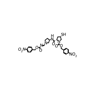 O=C(N=CN1CC[C@@H](NC(=O)[C@@H]2C[C@H](S)CN2C(=O)OCc2ccc([N+](=O)[O-])cc2)C1)OCc1ccc([N+](=O)[O-])cc1